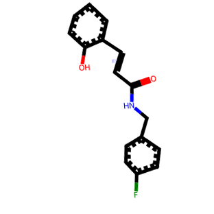 O=C(/C=C/c1ccccc1O)NCc1ccc(F)cc1